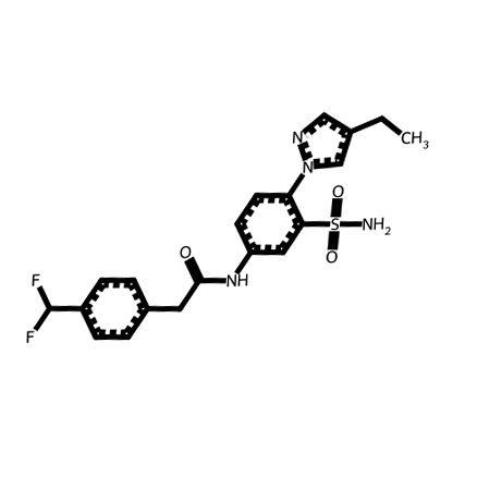 CCc1cnn(-c2ccc(NC(=O)Cc3ccc(C(F)F)cc3)cc2S(N)(=O)=O)c1